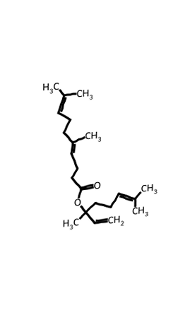 C=CC(C)(CCC=C(C)C)OC(=O)CC/C=C(\C)CCC=C(C)C